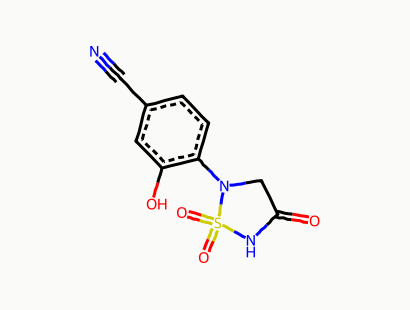 N#Cc1ccc(N2CC(=O)NS2(=O)=O)c(O)c1